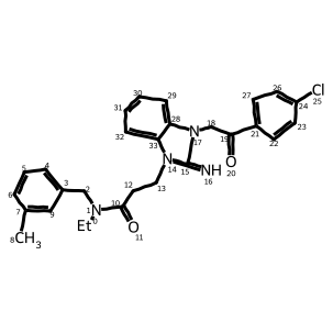 CCN(Cc1cccc(C)c1)C(=O)CCn1c(=N)n(CC(=O)c2ccc(Cl)cc2)c2ccccc21